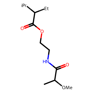 CCC(C(=O)OCCNC(=O)C(C)OC)C(C)C